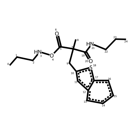 CCCNOC(=O)C(C)(Cc1cc2ccccc2s1)C(=O)NCCC